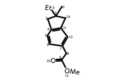 CCC1(C)Cc2ccc(CC(=O)OC)cc2C1